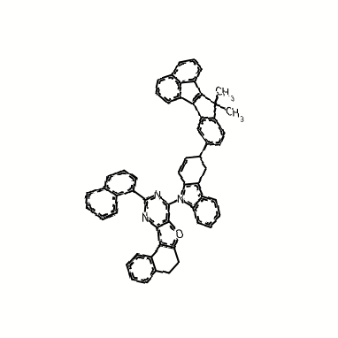 CC1(C)C2=C(c3cc(C4C=Cc5c(c6ccccc6n5-c5nc(-c6cccc7ccccc67)nc6c7c(oc56)CCc5ccccc5-7)C4)ccc31)c1cccc3cccc2c13